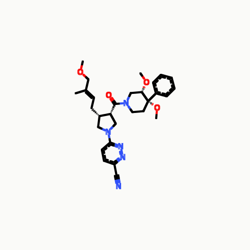 COC/C(C)=C/C[C@H]1CN(c2ccc(C#N)nn2)C[C@H]1C(=O)N1CC[C@](OC)(c2ccccc2)[C@@H](OC)C1